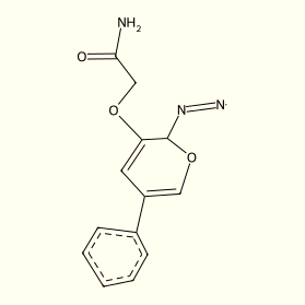 [N]=NC1OC=C(c2ccccc2)C=C1OCC(N)=O